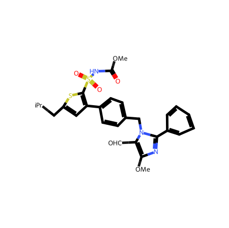 COC(=O)NS(=O)(=O)c1sc(CC(C)C)cc1-c1ccc(Cn2c(-c3ccccc3)nc(OC)c2C=O)cc1